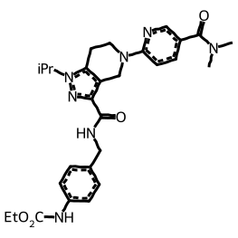 CCOC(=O)Nc1ccc(CNC(=O)c2nn(C(C)C)c3c2CN(c2ccc(C(=O)N(C)C)cn2)CC3)cc1